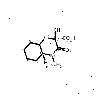 CN1C(=O)[C@@](C)(C(=O)O)OC2CCCC[C@H]21